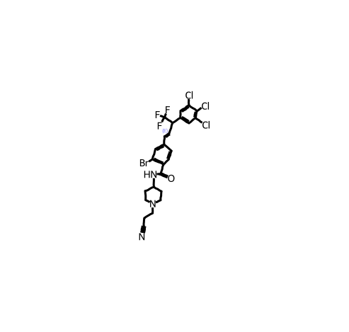 N#CCCN1CCC(NC(=O)c2ccc(/C=C/C(c3cc(Cl)c(Cl)c(Cl)c3)C(F)(F)F)cc2Br)CC1